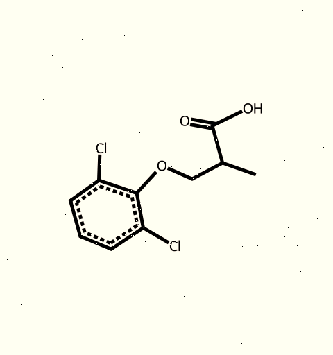 CC(COc1c(Cl)cccc1Cl)C(=O)O